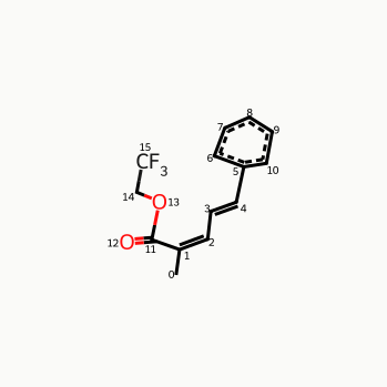 CC(=CC=Cc1ccccc1)C(=O)OCC(F)(F)F